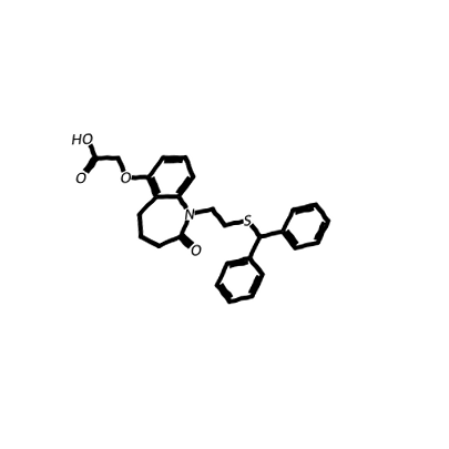 O=C(O)COc1cccc2c1CCCC(=O)N2CCSC(c1ccccc1)c1ccccc1